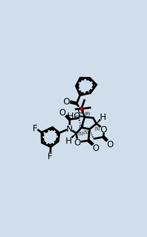 CC(C)(C)[C@]1(O)C[C@@H]2OC(=O)C[C@@]23C(=O)O[C@@H]2N(c4cc(F)cc(F)c4)C(=O)[C@H](OC(=O)c4ccccc4)[C@]213